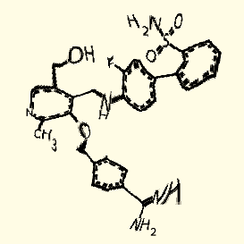 Cc1ncc(CO)c(CNc2ccc(-c3ccccc3S(N)(=O)=O)cc2F)c1OCc1ccc(C(=N)N)cc1